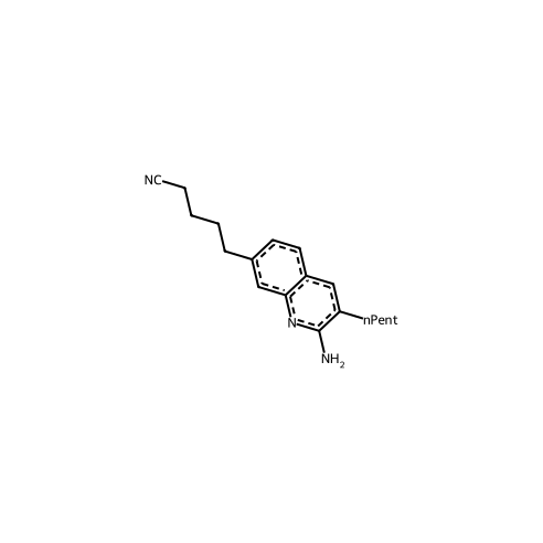 CCCCCc1cc2ccc(CCCCC#N)cc2nc1N